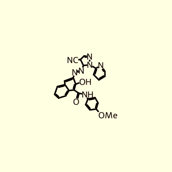 COc1ccc(NC(=O)c2c(O)c(/N=N/C3C(C#N)C=NN3c3ccccn3)cc3ccccc23)cc1